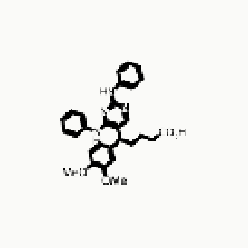 COc1ccc(C(CCCC(=O)O)c2cnc(Nc3ccccc3)nc2Nc2ccccc2)cc1OC